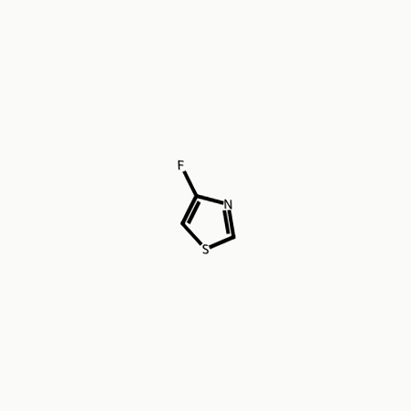 Fc1cscn1